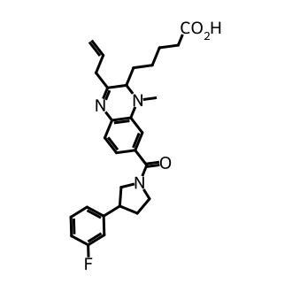 C=CCC1=Nc2ccc(C(=O)N3CCC(c4cccc(F)c4)C3)cc2N(C)C1CCCCC(=O)O